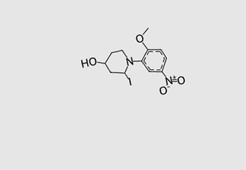 COc1ccc([N+](=O)[O-])cc1N1CCC(O)CC1I